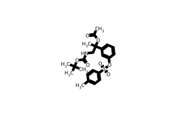 CC(=O)OC(C)(CNC(=O)OC(C)(C)C)c1cccc(OS(=O)(=O)c2ccc(C)cc2)c1